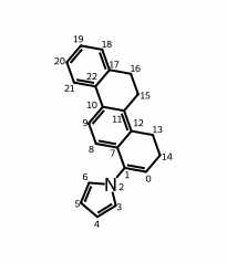 C1=C(n2cccc2)c2ccc3c(c2CC1)CCc1ccccc1-3